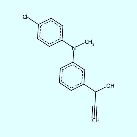 C#CC(O)c1cccc(N(C)c2ccc(Cl)cc2)c1